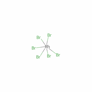 [Br][Rh]([Br])([Br])([Br])([Br])[Br]